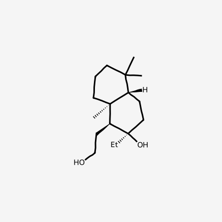 CC[C@@]1(O)CC[C@H]2C(C)(C)CCC[C@]2(C)[C@@H]1CCO